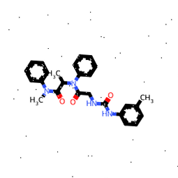 Cc1cccc(NC(=O)NCC(=O)N(c2ccccc2)C(C)C(=O)N(C)c2ccccc2)c1